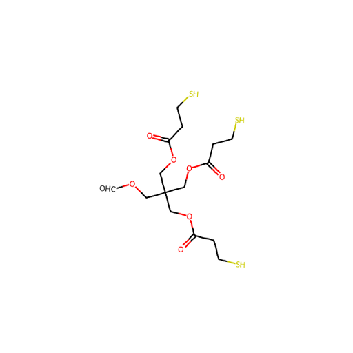 O=COCC(COC(=O)CCS)(COC(=O)CCS)COC(=O)CCS